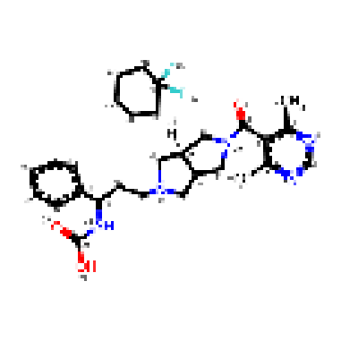 Cc1ncnc(C)c1C(=O)N1CC2CN(CCC(NC(=O)O)c3ccccc3)C[C@H]2C1.FC1(F)CCCCC1